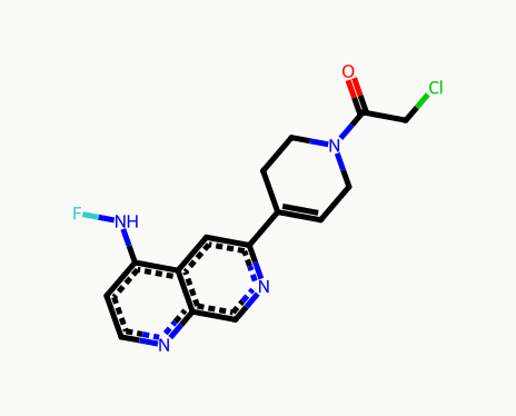 O=C(CCl)N1CC=C(c2cc3c(NF)ccnc3cn2)CC1